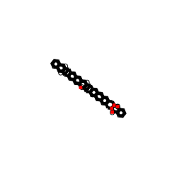 O=C1C(=O)C2c3cc4ccccc4cc3C1c1cc3cc4cc5c(cc4cc3cc12)C1C(=O)C(=O)C5c2cc3cc4cc5c(cc4cc3cc21)C1C(=O)C(=O)C5c2cc3ccccc3cc21